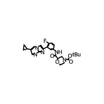 CC(C)(C)OC(=O)N1CCOC(C(=O)Nc2ccc(F)c(-c3cn4cc(C5CC5)cnc4n3)c2)C1